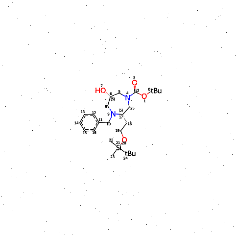 CC(C)(C)OC(=O)N1C[C@@H](O)CN(Cc2ccccc2)[C@@H](CCO[Si](C)(C)C(C)(C)C)C1